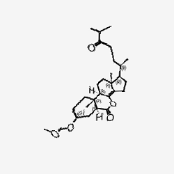 COCO[C@H]1CC[C@@]2(C)[C@H](C1)C(=O)OC1=C3CC[C@H]([C@H](C)CCC(=O)C(C)C)[C@@]3(C)CC[C@@H]12